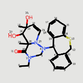 CCN1CN(C2c3ccccc3CSc3ccccc32)N2C=CC(C)(O)C(O)C2(C)C1=O